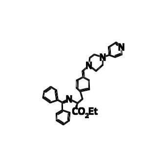 CCOC(=O)[C@H](CC1=CCC(=CN2CCN(c3ccncc3)CC2)C=C1)N=C(c1ccccc1)c1ccccc1